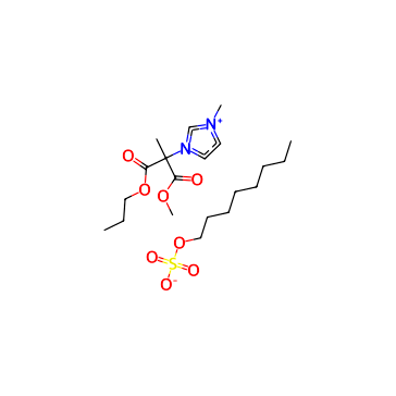 CCCCCCCCOS(=O)(=O)[O-].CCCOC(=O)C(C)(C(=O)OC)n1cc[n+](C)c1